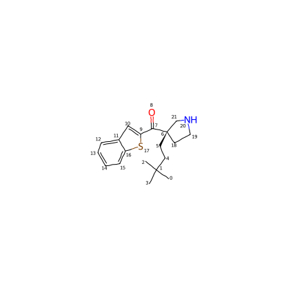 CC(C)(C)CC[C@]1(C(=O)c2cc3ccccc3s2)CCNC1